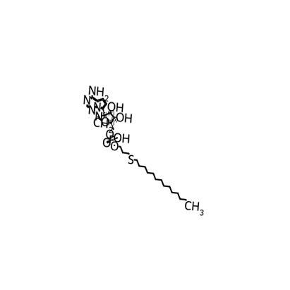 C=N[C@@]1(c2ccc3c(N)ncnn23)O[C@H](COP(=O)(O)OCCCSCCCCCCCCCCCCCC)[C@@H](O)[C@H]1O